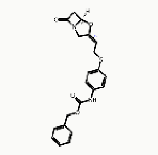 O=C(Nc1ccc(SC/C=C2\CN3C(=O)C[C@H]3O2)cc1)OCc1ccccc1